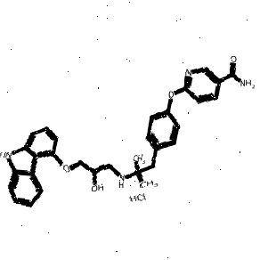 CC(C)(Cc1ccc(Oc2ccc(C(N)=O)cn2)cc1)NCC(O)COc1cccc2[nH]c3ccccc3c12.Cl